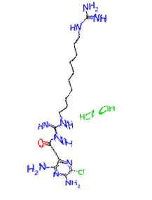 Cl.Cl.N=C(N)NCCCCCCCCCCNC(=N)NC(=O)c1nc(Cl)c(N)nc1N